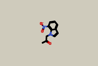 CC(=O)Cn1ccc2cccc([N+](=O)[O-])c21